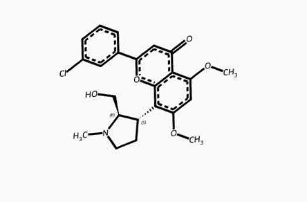 COc1cc(OC)c2c(=O)cc(-c3cccc(Cl)c3)oc2c1[C@@H]1CCN(C)[C@H]1CO